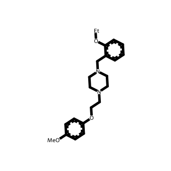 CCOc1ccccc1CN1CCN(CCOc2ccc(OC)cc2)CC1